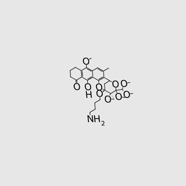 COc1c2c(c(O)c3c4c(c(C)cc13)C1C[C@@](OCCCCN)(O4)[C@@]3(CO3)C(OC)(C(OC)OC)O1)C(=O)CCC2